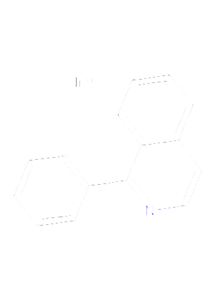 [Ir+3].c1ccc(-c2nccc3ccccc23)cc1